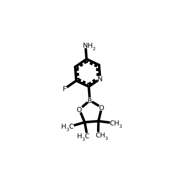 CC1(C)OB(c2ncc(N)cc2F)OC1(C)C